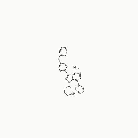 Nc1ncc(-c2ccccc2)c2c1c(-c1ccc(Oc3ccccc3)cc1)nn2C1CCCNC1